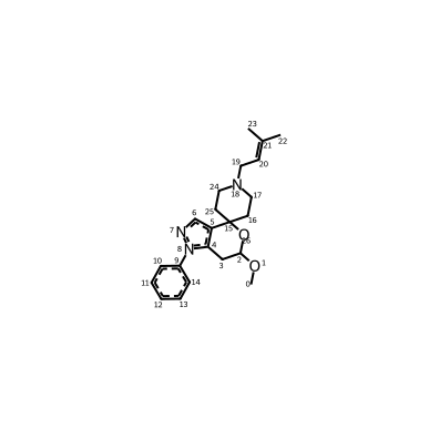 COC1Cc2c(cnn2-c2ccccc2)C2(CCN(CC=C(C)C)CC2)O1